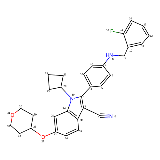 N#Cc1c(-c2ccc(NCc3ccccc3F)cc2)n(C2CCC2)c2cc(OC3CCOCC3)ccc12